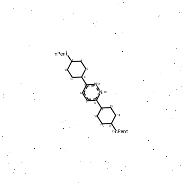 CCCCCC1CCC(c2ccc(C3CCC(CCCCC)CC3)nn2)CC1